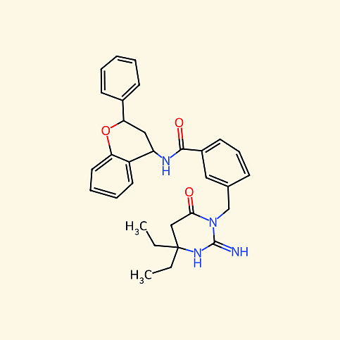 CCC1(CC)CC(=O)N(Cc2cccc(C(=O)NC3CC(c4ccccc4)Oc4ccccc43)c2)C(=N)N1